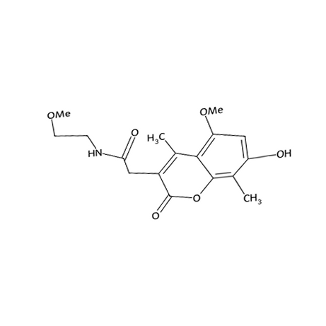 COCCNC(=O)Cc1c(C)c2c(OC)cc(O)c(C)c2oc1=O